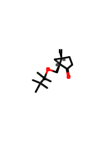 CC(C)(C)[Si](C)(C)OC[C@@]12C[C@@H]1CCC2=O